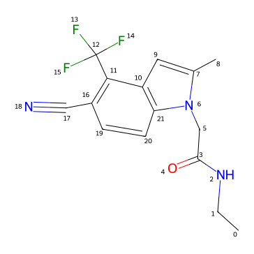 CCNC(=O)Cn1c(C)cc2c(C(F)(F)F)c(C#N)ccc21